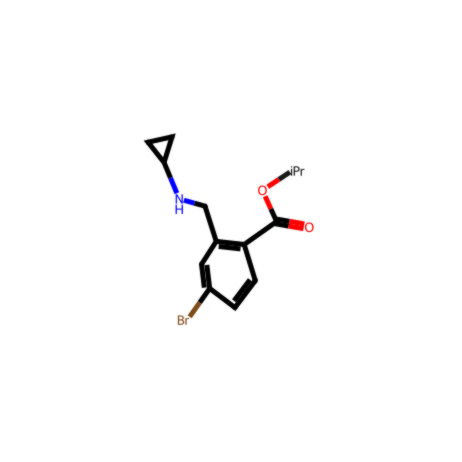 CC(C)OC(=O)c1ccc(Br)cc1CNC1CC1